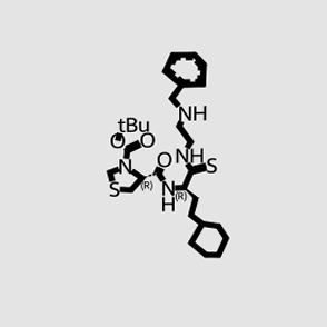 CC(C)(C)OC(=O)N1CSC[C@H]1C(=O)N[C@H](CCC1CCCCC1)C(=S)NCCNCc1ccccc1